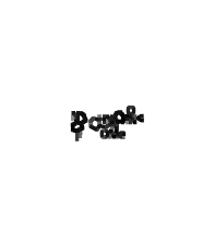 CO[C@@H](c1nc2cc(C(=O)NC3CC3)ccc2[nH]1)[C@H]1CC[C@@H](c2ccnc3ccc(F)cc32)CC1